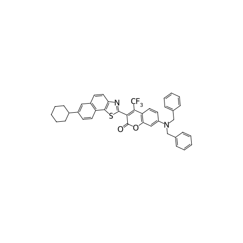 O=c1oc2cc(N(Cc3ccccc3)Cc3ccccc3)ccc2c(C(F)(F)F)c1-c1nc2ccc3cc(C4CCCCC4)ccc3c2s1